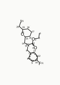 CCOC(=O)N(Cc1ccc(F)cc1)CC1CCCC(CI)O1